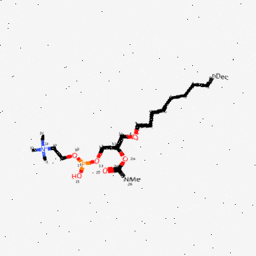 CCCCCCCCCCCCCCCCCCOCC(COP(O)OCC[N+](C)(C)C)OC(=O)NC